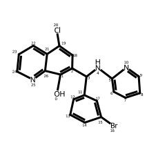 Oc1c(C(Nc2ccccn2)c2cccc(Br)c2)cc(Cl)c2cccnc12